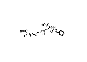 CC(C)(C)OC(=O)N1CC(OCCCNCC[C@H](NC(=O)OCc2ccccc2)C(=O)O)C1